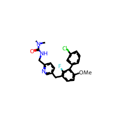 COc1ccc(Cc2ccc(CNC(=O)N(C)C)nc2)c(F)c1-c1cccc(Cl)c1